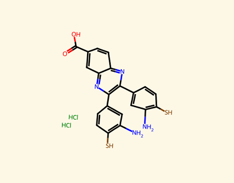 Cl.Cl.Nc1cc(-c2nc3ccc(C(=O)O)cc3nc2-c2ccc(S)c(N)c2)ccc1S